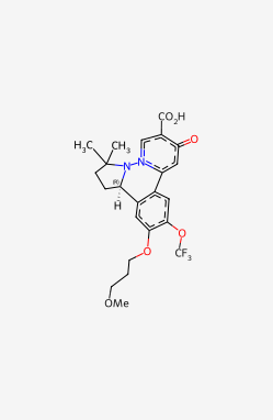 COCCCOc1cc2c(cc1OC(F)(F)F)-c1cc(=O)c(C(=O)O)cn1N1[C@@H]2CCC1(C)C